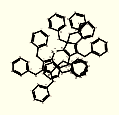 c1ccc(CC2=C(Cc3ccccc3)C(Cc3ccccc3)(Cc3ccccc3)[C]([Sm][C]3=C(Cc4ccccc4)C(Cc4ccccc4)=C(Cc4ccccc4)C3(Cc3ccccc3)Cc3ccccc3)=C2Cc2ccccc2)cc1